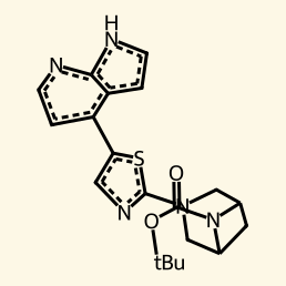 CC(C)(C)OC(=O)N1C2CC1CN(c1ncc(-c3ccnc4[nH]ccc34)s1)C2